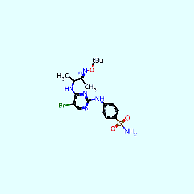 C/C(=N\OC(C)(C)C)C(C)Nc1nc(Nc2ccc(S(N)(=O)=O)cc2)ncc1Br